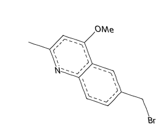 COc1cc(C)nc2ccc(CBr)cc12